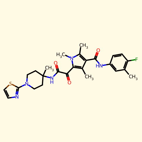 Cc1cc(NC(=O)c2c(C)c(C(=O)C(=O)NC3(C)CCN(c4nccs4)CC3)n(C)c2C)ccc1F